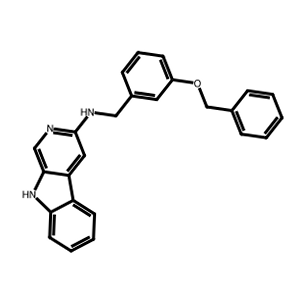 c1ccc(COc2cccc(CNc3cc4c(cn3)[nH]c3ccccc34)c2)cc1